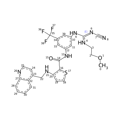 COCCN/C(=N\C#N)Nc1cc(NC(=O)c2sccc2NCc2ccnc3ccccc23)cc(C(F)(F)F)c1